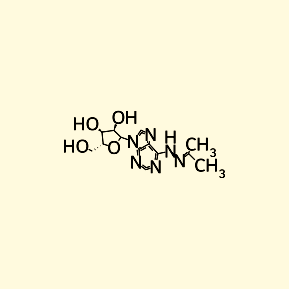 CC(C)=NNc1ncnc2c1ncn2C1O[C@H](CO)[C@@H](O)[C@H]1O